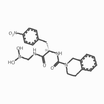 O=C(NCB(O)O)[C@H](Cc1ccc([N+](=O)[O-])cc1)NC(=O)N1CCc2ccccc2C1